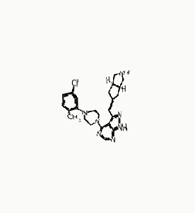 Cc1ccc(Cl)cc1N1CCN(c2ncnc3[nH]nc(C=C4C[C@H]5CNC[C@H]5C4)c23)CC1